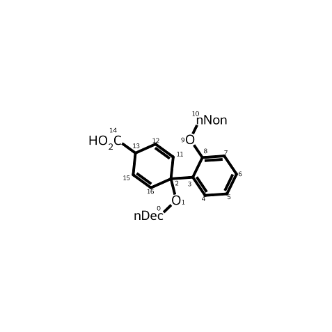 CCCCCCCCCCOC1(c2ccccc2OCCCCCCCCC)C=CC(C(=O)O)C=C1